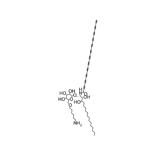 C#CC#CC#CC#CC#CC#CC#CC#CC#CC#CC#CC#CC(=O)N[C@@H](COC1OC(COCCCCCCN)C(O)C(O)C1O)[C@H](O)[C@H](O)CCCCCCCCCCCCCC